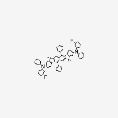 CC1(C)c2cc(N(c3ccccc3)c3cccc(F)c3)ccc2-c2c1cc1c(-c3ccccc3)c3c(cc1c2-c1ccccc1)C(C)(C)c1cc(N(c2ccccc2)c2cccc(F)c2)ccc1-3